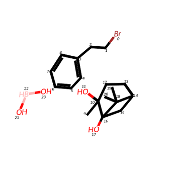 BrCCc1ccccc1.CC1(O)CCC2CC1(O)C2(C)C.OBO